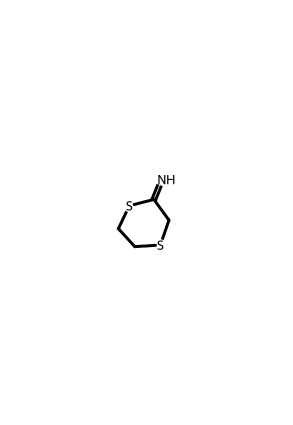 N=C1CSCCS1